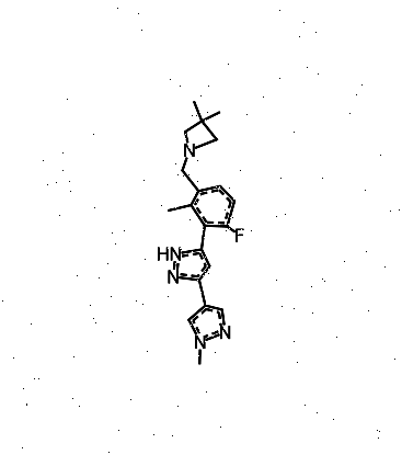 Cc1c(CN2CC(C)(C)C2)ccc(F)c1-c1cc(-c2cnn(C)c2)n[nH]1